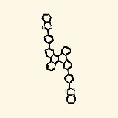 c1ccc2sc(-c3ccc(-c4ccc5c6ccccc6c6c7cc(-c8ccc(-c9nc%10ccccc%10s9)cc8)ccc7c7ccccc7c6c5c4)cc3)nc2c1